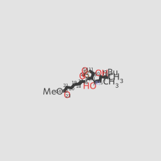 CCCCC(C)(C)C/C=C(/O)[C@@H]1[C@@H](O)CS(=O)(=O)[C@H]1CC=CCCCC(=O)OC